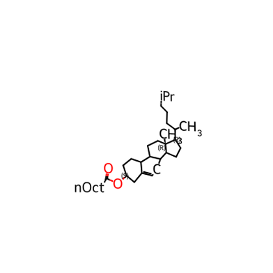 CCCCCCCCC(=O)O[C@H]1CCC2C(=CCC3C2CC[C@@]2(C)C3CC[C@@H]2C(C)CCCC(C)C)C1